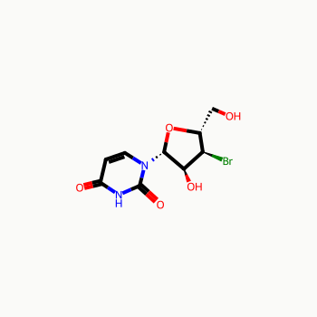 O=c1ccn([C@@H]2O[C@H](CO)[C@@H](Br)[C@H]2O)c(=O)[nH]1